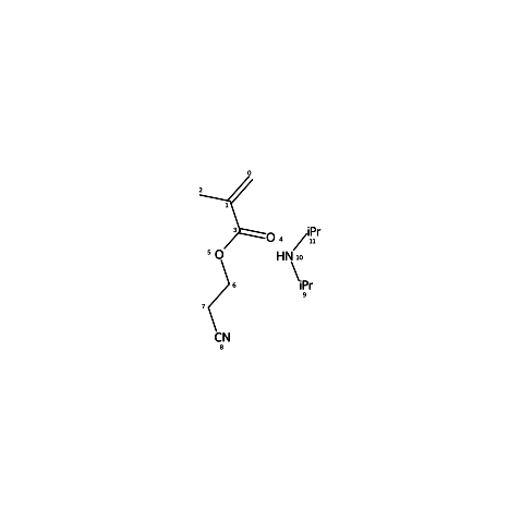 C=C(C)C(=O)OCCC#N.CC(C)NC(C)C